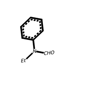 CCN([13CH]=O)c1ccccc1